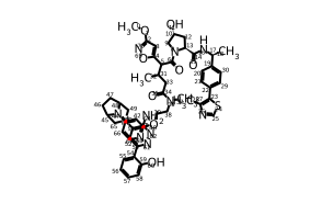 COc1cc(C(C(=O)N2C[C@H](O)C[C@H]2C(=O)N[C@@H](C)c2ccc(-c3scnc3C)cc2)C(C)CC(=O)N(C)CCOc2cc(N3C4CCC3CN(c3cc(-c5ccccc5O)nnc3N)C4)ccn2)on1